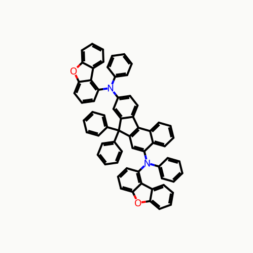 c1ccc(N(c2ccc3c(c2)C(c2ccccc2)(c2ccccc2)c2cc(N(c4ccccc4)c4cccc5oc6ccccc6c45)c4ccccc4c2-3)c2cccc3oc4ccccc4c23)cc1